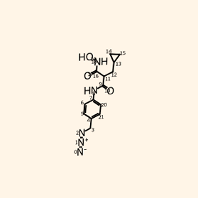 [N-]=[N+]=NCc1ccc(NC(=O)C(CC2CC2)C(=O)NO)cc1